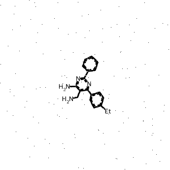 CCc1ccc(-c2nc(-c3ccccc3)nc(N)c2CN)cc1